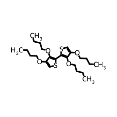 CCCCOc1csc(-c2scc(OCCCC)c2OCCCC)c1OCCCC